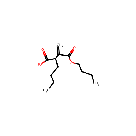 C=C(C(=O)OCCCC)C(CCCC)C(=O)O